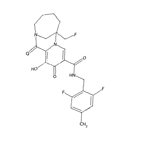 Cc1cc(F)c(CNC(=O)c2cn3c(c(O)c2=O)C(=O)N2CCCCC3(CF)C2)c(F)c1